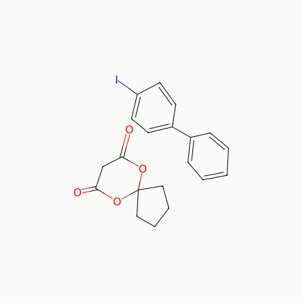 Ic1ccc(-c2ccccc2)cc1.O=C1CC(=O)OC2(CCCC2)O1